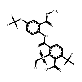 CCS(=O)(=O)c1c(C(=O)Nc2ccc(OC(F)(F)F)cc2C(=O)OC)ccc(C(F)(F)F)c1C(C)=O